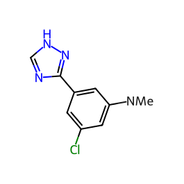 CNc1cc(Cl)cc(-c2nc[nH]n2)c1